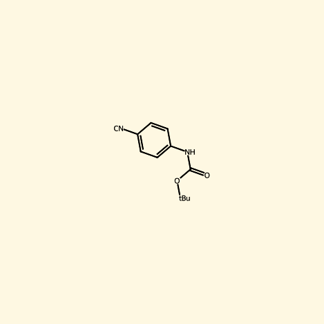 [C-]#[N+]c1ccc(NC(=O)OC(C)(C)C)cc1